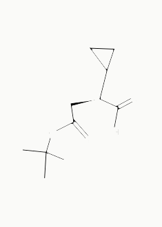 CC(C)(C)OC(=O)C[C@H](C(=O)O)C1CC1